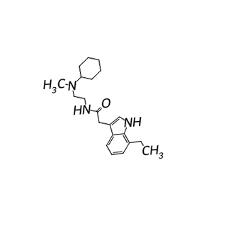 CCc1cccc2c(CC(=O)NCCN(C)C3CCCCC3)c[nH]c12